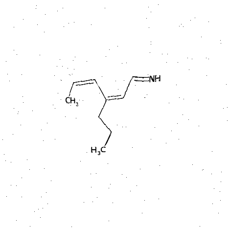 C/C=C\C(=C/C=N)CCC